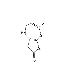 CC1=CCNC2=C(SC(=O)C2)S1